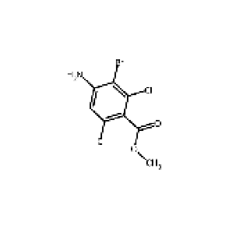 COC(=O)c1c(Cl)cc(N)c(Br)c1Cl